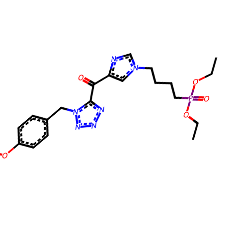 CCOP(=O)(CCCCn1cnc(C(=O)c2nnnn2Cc2ccc(OC)cc2)c1)OCC